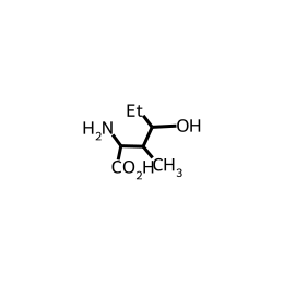 CCC(O)C(C)C(N)C(=O)O